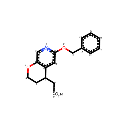 O=C(O)CC1CCOc2cnc(OCc3ccccc3)cc21